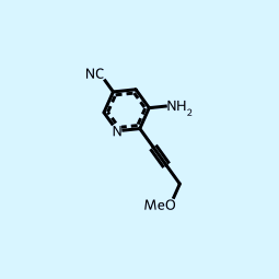 COCC#Cc1ncc(C#N)cc1N